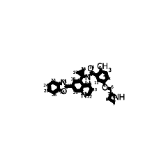 Cc1ccc(OC[C@@H]2CCN2)cc1C(=O)NC1(c2cc(-c3nc4ccccc4o3)cc3ncccc23)CC1